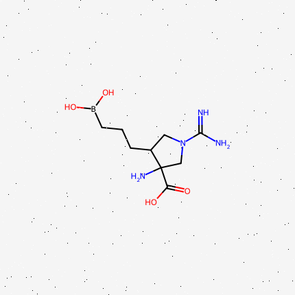 N=C(N)N1CC(CCCB(O)O)C(N)(C(=O)O)C1